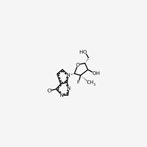 C[C@@]1(F)C(O)[C@@H](CO)O[C@H]1n1ccc2c(Cl)ncnc21